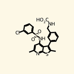 Cc1cc(NS(=O)(=O)c2cccc(Cl)c2)c2c(-c3cccc(CNC(=O)O)c3)c(C)sc2n1